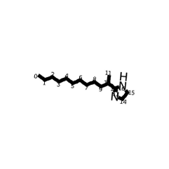 CCCCCCCCCCC(C)C1=NCCN1